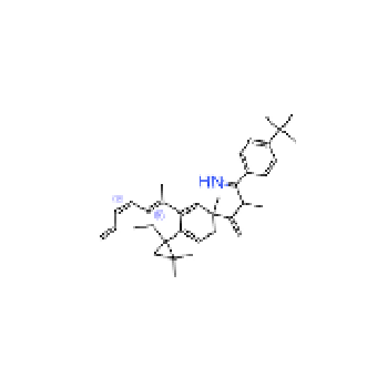 C=C/C=C\C=C(/C)C1=CC(C)(C(=C)C(C)C(=N)c2ccc(C(C)(C)C)cc2)CC=C1C1(CC)CC1(C)C